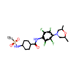 CC1CN(c2c(F)c(F)c(NC(=O)C3CCC(NS(=O)(=O)C(C)(C)C)CC3)c(F)c2F)CC(C)O1